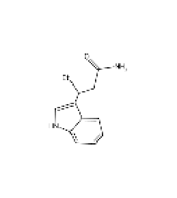 CCC(CC(N)=O)c1c[nH]c2ccccc12